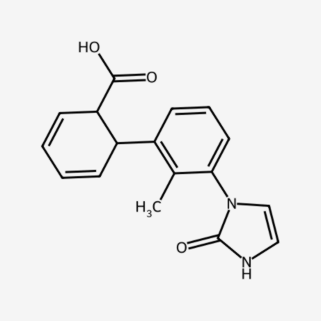 Cc1c(C2C=CC=CC2C(=O)O)cccc1-n1cc[nH]c1=O